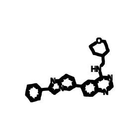 c1ccc(-c2cn3cc(-c4ccc5ncnc(NCC6CCOCC6)c5c4)ccc3n2)cc1